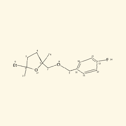 CCC1(C)CCC(C)(COCc2ccc(F)cc2)O1